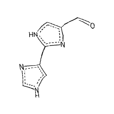 O=Cc1c[nH]c(-c2c[nH]cn2)n1